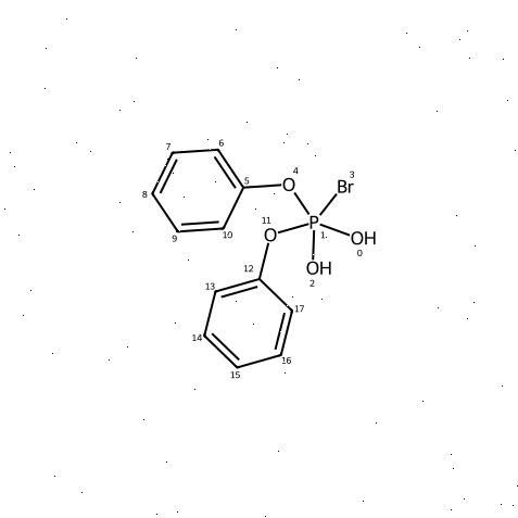 OP(O)(Br)(Oc1ccccc1)Oc1ccccc1